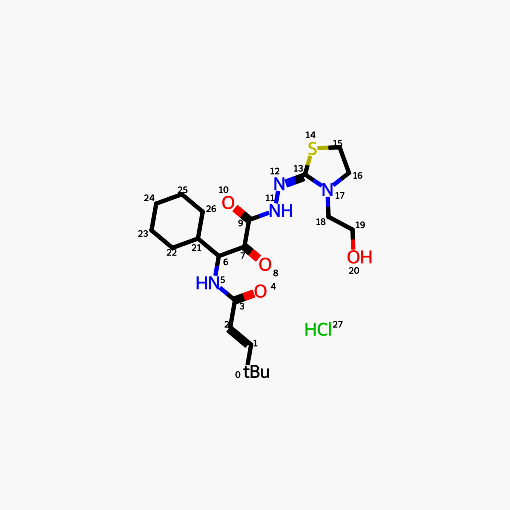 CC(C)(C)C=CC(=O)NC(C(=O)C(=O)NN=C1SCCN1CCO)C1CCCCC1.Cl